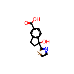 O=C(O)c1ccc2c(c1)CCC2(O)c1nccs1